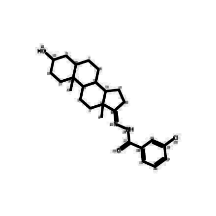 CC12CCC3C(CCC4CC(O)CCC43C)C1CC/C2=N\NC(=O)c1cccc(Cl)c1